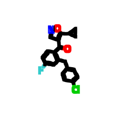 O=C(c1ccc(F)cc1Cc1ccc(Cl)cc1)c1cnoc1C1CC1